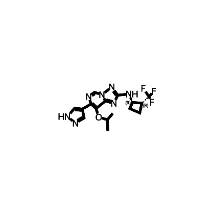 CC(C)Oc1c(-c2cn[nH]c2)ncn2nc(N[C@@H]3CC[C@H]3C(F)(F)F)nc12